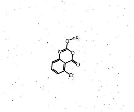 CCCOc1nc2cccc(CC)c2c(=O)o1